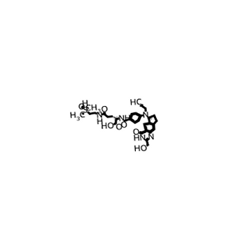 C#CCN(c1ccc(C(=O)N[C@@H](CCC(=O)NCC[SH](C)(C)=O)C(=O)O)cc1)[C@H]1CCc2cc3nc(CO)[nH]c(=O)c3cc21